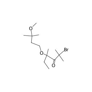 CCC(C)(OCCC(C)(C)OC)C(=O)C(C)(C)Br